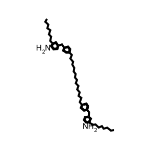 CCCCCCCCc1cc(Cc2ccc(CCCCCCCCCCCCCCCCc3ccc(Cc4ccc(N)c(CCCCCCCC)c4)cc3)cc2)ccc1N